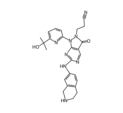 CC(C)(O)c1cccc(-n2c3nc(Nc4ccc5c(c4)CNCC5)ncc3c(=O)n2CCC#N)n1